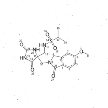 COc1ccc2c(c1)CN(CC1(CNS(=O)(=O)C(C)C)NC(=O)NC1=O)C2=O